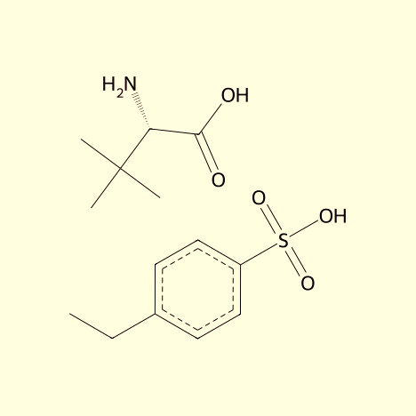 CC(C)(C)[C@H](N)C(=O)O.CCc1ccc(S(=O)(=O)O)cc1